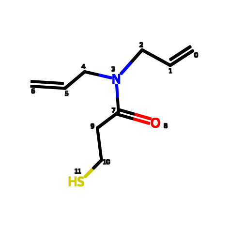 C=CCN(CC=C)C(=O)CCS